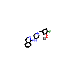 CCOc1cc(CN2CCC(Nc3nccc4ccccc34)CC2)ccc1F